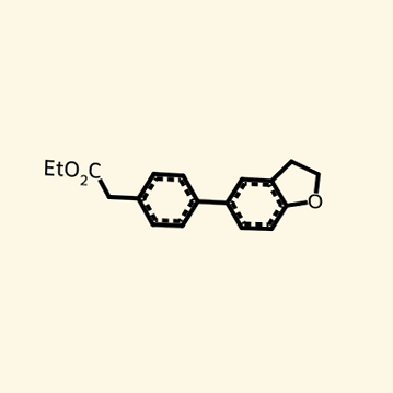 CCOC(=O)Cc1ccc(-c2ccc3c(c2)CCO3)cc1